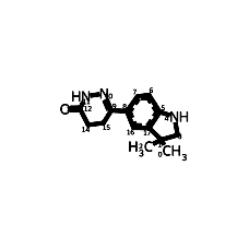 CC1(C)CNc2ccc(C3=NNC(=O)CC3)cc21